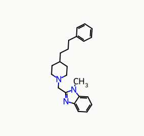 Cn1c(CN2CCC(CCCc3ccccc3)CC2)nc2ccccc21